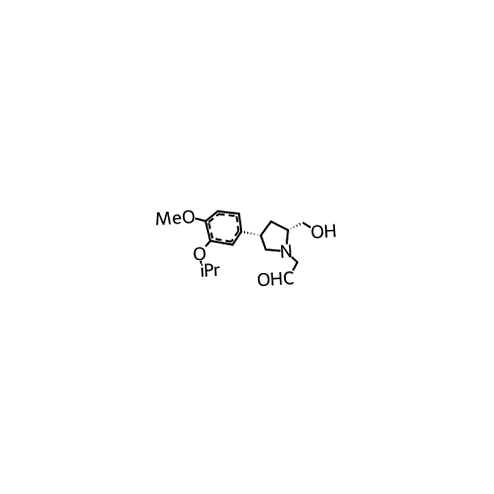 COc1ccc([C@@H]2C[C@H](CO)N(CC=O)C2)cc1OC(C)C